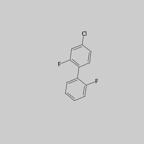 Fc1ccccc1-c1ccc(Cl)cc1F